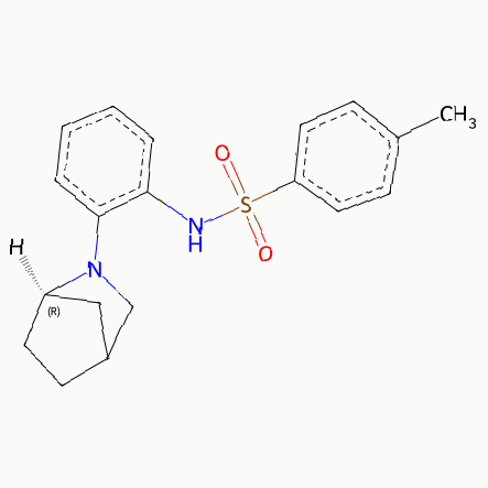 Cc1ccc(S(=O)(=O)Nc2ccccc2N2CC3CC[C@@H]2C3)cc1